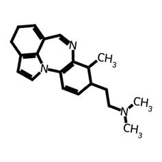 CC1C2=C(C=CC1CCN(C)C)n1ccc3c1C(=CCC3)C=N2